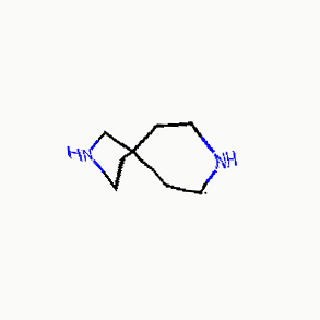 [CH]1CC2(CCN1)CNC2